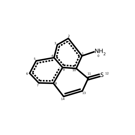 Nc1ccc2cccc3c2c1C(=S)C=C3